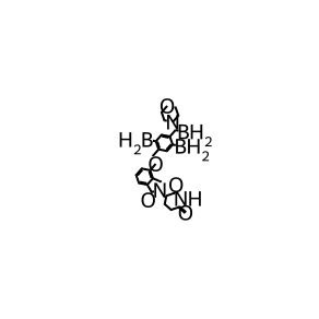 Bc1cc(C(B)N2CCOCC2)c(B)cc1COc1cccc2c1CN(C1CCC(=O)NC1=O)C2=O